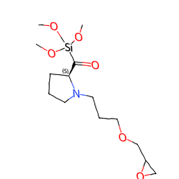 CO[Si](OC)(OC)C(=O)[C@@H]1CCCN1CCCOCC1CO1